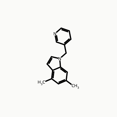 Cc1cc(C)c2ccn(Cc3cccnc3)c2c1